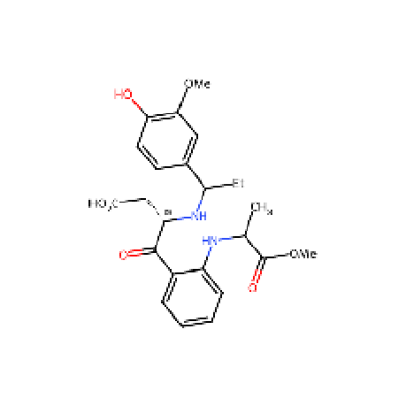 CCC(N[C@@H](CC(=O)O)C(=O)c1ccccc1NC(C)C(=O)OC)c1ccc(O)c(OC)c1